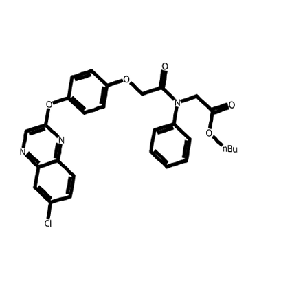 CCCCOC(=O)CN(C(=O)COc1ccc(Oc2cnc3cc(Cl)ccc3n2)cc1)c1ccccc1